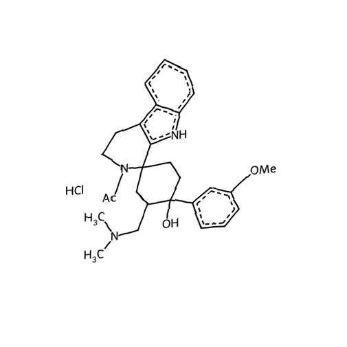 COc1cccc(C2(O)CCC3(CC2CN(C)C)c2[nH]c4ccccc4c2CCN3C(C)=O)c1.Cl